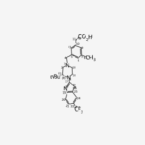 CCCC[C@@H]1CN(Cc2cc(C)cc(CC(=O)O)c2)CCN1c1nc2ccc(C(F)(F)F)cc2s1